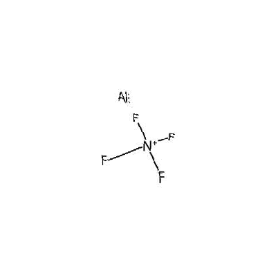 F[N+](F)(F)F.[Al]